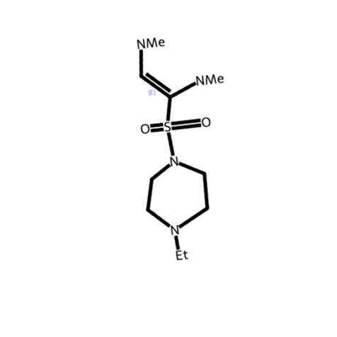 CCN1CCN(S(=O)(=O)/C(=C/NC)NC)CC1